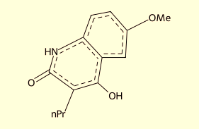 CCCc1c(O)c2cc(OC)ccc2[nH]c1=O